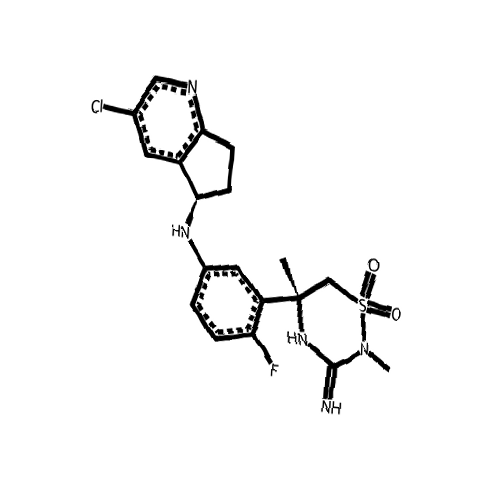 CN1C(=N)N[C@](C)(c2cc(N[C@@H]3CCc4ncc(Cl)cc43)ccc2F)CS1(=O)=O